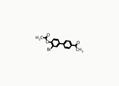 CC(=O)Oc1ccc(-c2ccc(C(C)=O)cc2)cc1Br